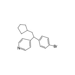 Brc1ccc(C(CC2CCCC2)c2ccncc2)cc1